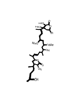 COC(CCC(C)C1(O)CC(C(C)C)OC(=O)C1O)CC(CC(O)C(C)C/C=C/C(C)C1CC(C(C)CCC(C)O)C(O)C(=O)O1)OC